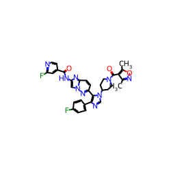 Cc1noc(C)c1C(=O)N1CCC(n2cnc(-c3ccc(F)cc3)c2-c2ccc3nc(NC(=O)c4ccnc(F)c4)cn3n2)CC1